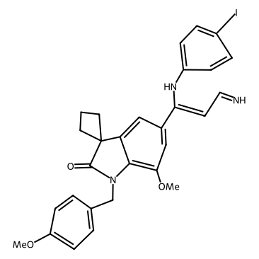 COc1ccc(CN2C(=O)C3(CCC3)c3cc(/C(=C/C=N)Nc4ccc(I)cc4)cc(OC)c32)cc1